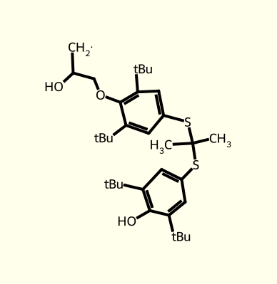 [CH2]C(O)COc1c(C(C)(C)C)cc(SC(C)(C)Sc2cc(C(C)(C)C)c(O)c(C(C)(C)C)c2)cc1C(C)(C)C